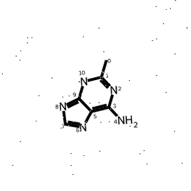 CC1=NC(N)=C2N=CN=C2[N]1